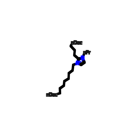 CCCCCCCCCCCCCCCCCC[n+]1ccn(CCC)c1CCCCCCCCCCCCC